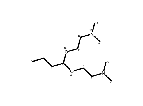 CCCC(OCCN(C)C)OCCN(C)C